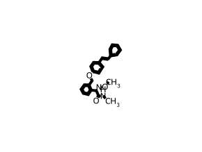 CNC(=O)C(=NOC)c1ccccc1COc1ccc(C=Cc2ccccc2)cc1